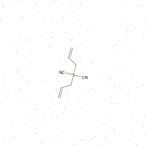 C=CCS(C#N)(C#N)CC=C